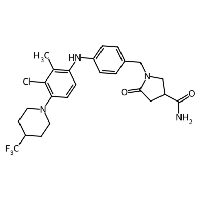 Cc1c(Nc2ccc(CN3CC(C(N)=O)CC3=O)cc2)ccc(N2CCC(C(F)(F)F)CC2)c1Cl